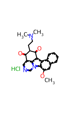 COc1cc2ccccc2c2c3c4c(cncn4c12)C(=O)C(CCN(C)C)C3=O.Cl